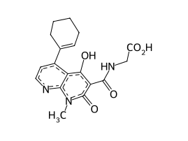 Cn1c(=O)c(C(=O)NCC(=O)O)c(O)c2c(C3=CCCCC3)ccnc21